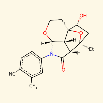 CC[C@]12C[C@@H](O)[C@@]3(CCO[C@@H]4[C@H]3[C@H]1C(=O)N4c1ccc(C#N)c(C(F)(F)F)c1)O2